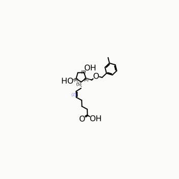 Cc1cccc(COC[C@H]2[C@H](C/C=C\CCCC(=O)O)[C@H](O)C[C@@H]2O)c1